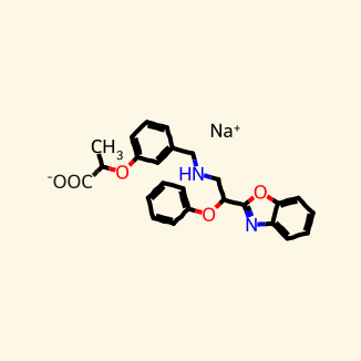 CC(Oc1cccc(CNCC(Oc2ccccc2)c2nc3ccccc3o2)c1)C(=O)[O-].[Na+]